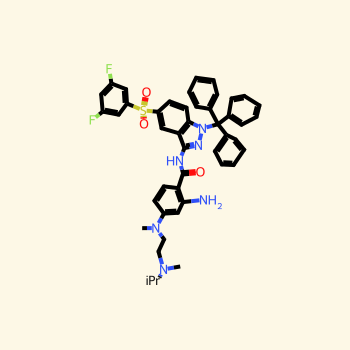 CC(C)N(C)CCN(C)c1ccc(C(=O)Nc2nn(C(c3ccccc3)(c3ccccc3)c3ccccc3)c3ccc(S(=O)(=O)c4cc(F)cc(F)c4)cc23)c(N)c1